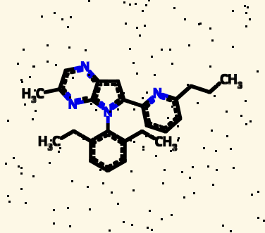 CCCc1cccc(-c2cc3ncc(C)nc3n2-c2c(CC)cccc2CC)n1